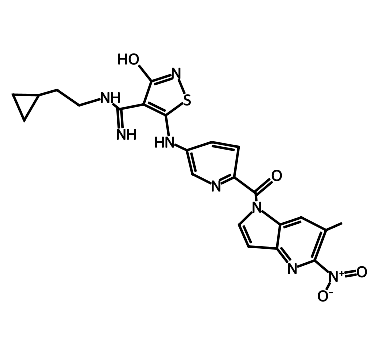 Cc1cc2c(ccn2C(=O)c2ccc(Nc3snc(O)c3C(=N)NCCC3CC3)cn2)nc1[N+](=O)[O-]